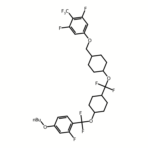 CCCCOc1ccc(C(F)(F)OC2CCC(C(F)(F)OC3CCC(COc4cc(F)c(C(F)(F)F)c(F)c4)CC3)CC2)c(F)c1